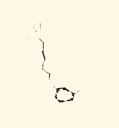 Cc1cccc(OCCCCCPCl)c1